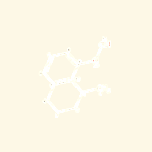 CC1CCCc2cccc(OO)c21